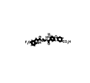 Cc1cc(O[C@H]2CC[C@@H](C(=O)O)CC2)ccc1C(=O)NCCNC(=O)C1Cc2cc(C(F)(F)F)ccc2N1